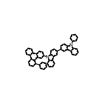 c1ccc(-c2cccc3c4ccccc4c4ccc(-n5c6ccccc6c6cc(-c7ccc8c(c7)c7ccccc7n8-c7ccccc7)ccc65)cc4c23)cc1